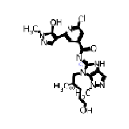 C[C@H](CCCO)Cn1/c(=N/C(=O)c2cc(Cl)nc(-c3cnn(C)c3O)c2)[nH]c2cnn(C)c21